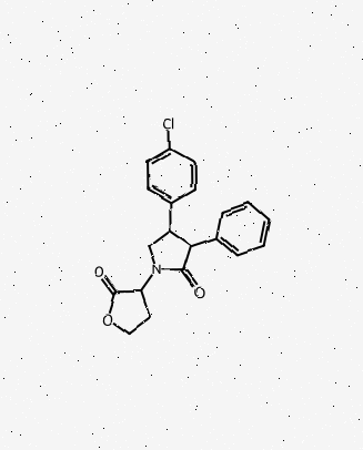 O=C1OCCC1N1CC(c2ccc(Cl)cc2)C(c2ccccc2)C1=O